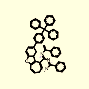 C=C(/N=C(\N=C(/N)c1ccccc1)C1=CCC=CC2=C1C1CC(c3ccc(C(c4ccccc4)(c4ccccc4)c4ccccc4)cc3)=CC=C1O2)c1ccccc1